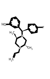 C=CCN1C[C@@H](C)N([C@H](c2ccc(F)cc2)c2cccc(O)c2)C[C@@H]1C